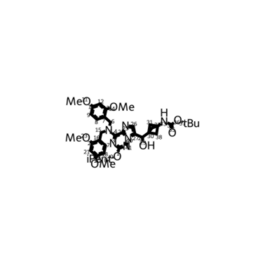 CCC[C@H](C)Oc1nc(N(Cc2ccc(OC)cc2OC)Cc2ccc(OC)cc2OC)c2ncc(C(O)C34CC(NC(=O)OC(C)(C)C)(C3)C4)n2n1